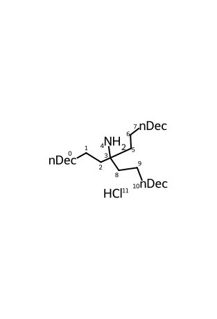 CCCCCCCCCCCCC(N)(CCCCCCCCCCCC)CCCCCCCCCCCC.Cl